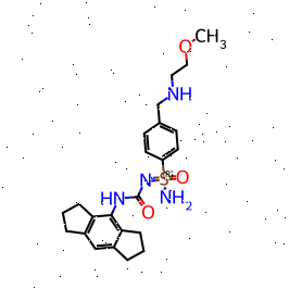 COCCNCc1ccc([S@](N)(=O)=NC(=O)Nc2c3c(cc4c2CCC4)CCC3)cc1